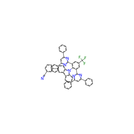 N#Cc1cccc(-c2ccc3c(c2)c2ccccc2n3-c2c(-c3nc(-c4ccccc4)cc(-c4ccccc4)n3)cc(C(F)(F)F)cc2-c2nc(-c3ccccc3)cc(-c3ccccc3)n2)c1